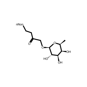 CCCCCCCCCCCC(=O)CO[C@H]1O[C@@H](C)[C@@H](O)[C@@H](O)[C@@H]1O